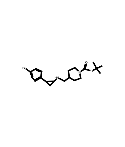 CC(C)(C)OC(=O)N1CCC(CNC2CC2c2ccc(Br)cc2)CC1